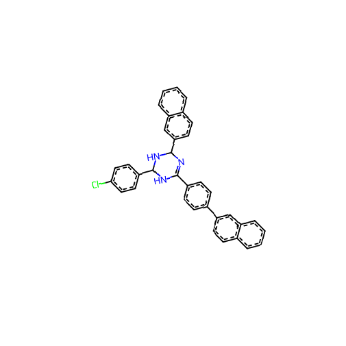 Clc1ccc(C2NC(c3ccc(-c4ccc5ccccc5c4)cc3)=NC(c3ccc4ccccc4c3)N2)cc1